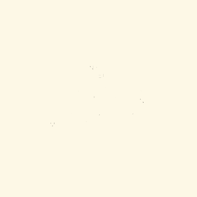 CCC(c1ccncc1)c1ccc(OC)cc1.N